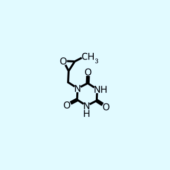 CC1OC1Cn1c(=O)[nH]c(=O)[nH]c1=O